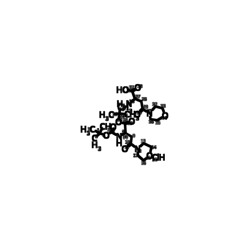 CC(C)(C)OC(=O)N[C@H](CC(=O)N1CCOCC1)C(=O)OC(C)(C)C.Cl.NC(CC(=O)N1CCOCC1)C(=O)O